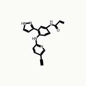 C#Cc1ccc(Nc2ccc(NC(=O)C=C)cc2-c2cc[nH]n2)nc1